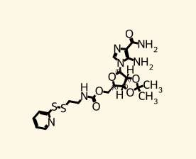 CC1(C)O[C@@H]2[C@H](O1)[C@@H](COC(=O)NCCSSc1ccccn1)O[C@H]2n1cnc(C(N)=O)c1N